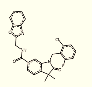 CC1(C)C(=O)N(Cc2c(F)cccc2Cl)c2cc(C(=O)NCc3nc4ccccc4o3)ccc21